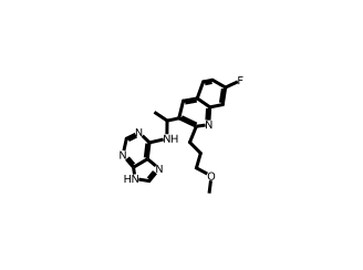 COCCCc1nc2cc(F)ccc2cc1C(C)Nc1ncnc2[nH]cnc12